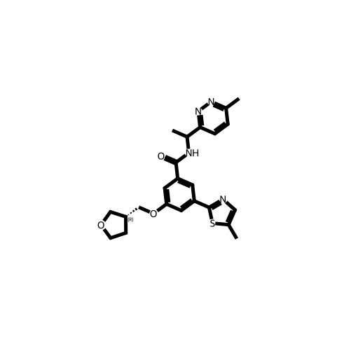 Cc1ccc(C(C)NC(=O)c2cc(OC[C@@H]3CCOC3)cc(-c3ncc(C)s3)c2)nn1